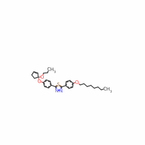 CCCCCCCCOc1ccc(-c2nnc(-c3ccc(O[C@]4(OCCC)C=CCC4)cc3)s2)cc1